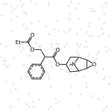 CCC(=O)OCC(C(=O)OC1CC2C3OC3C(C1)N2C)c1ccccc1